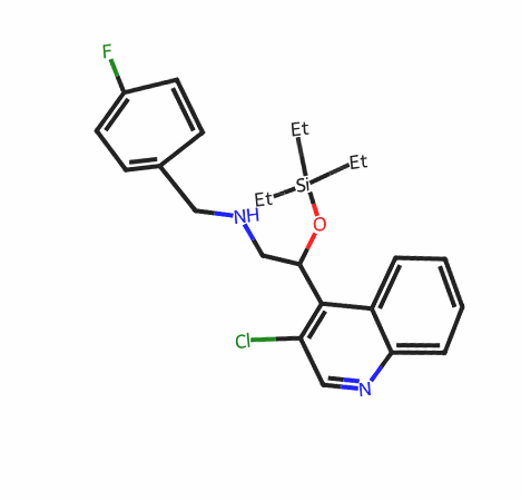 CC[Si](CC)(CC)OC(CNCc1ccc(F)cc1)c1c(Cl)cnc2ccccc12